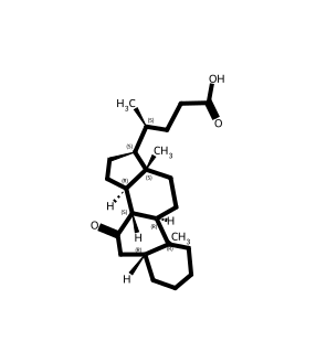 C[C@@H](CCC(=O)O)[C@@H]1CC[C@@H]2[C@H]3C(=O)C[C@H]4CCCC[C@@]4(C)[C@@H]3CC[C@]21C